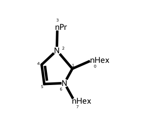 CCCCCCC1N(CCC)C=CN1CCCCCC